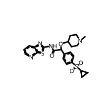 CN1CCC(OC(C(=O)Nc2nc3cccnc3s2)c2ccc(S(=O)(=O)C3CC3)cc2)CC1